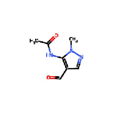 CC(=O)Nc1c(C=O)cnn1C